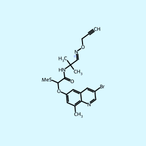 C#CCO/N=C/C(C)(C)NC(=O)C(Oc1cc(C)c2ncc(Br)cc2c1)SC